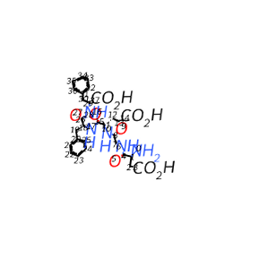 N[C@@H](CC(=O)O)C(=O)NCC(=O)N[C@@H](CCC(=O)O)C(=O)N[C@@H](Cc1ccccc1)C(=O)N[C@@H](Cc1ccccc1)C(=O)O